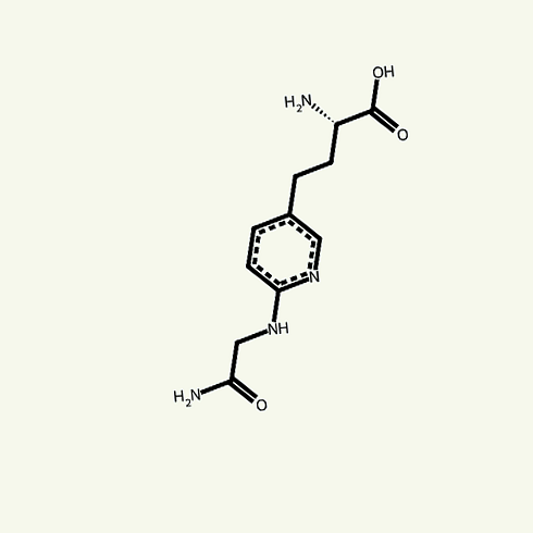 NC(=O)CNc1ccc(CC[C@H](N)C(=O)O)cn1